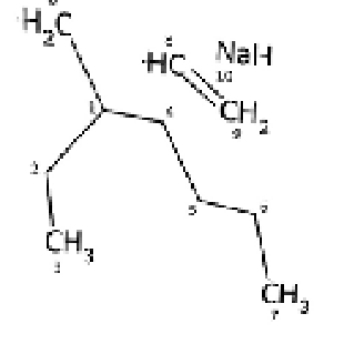 [CH2]C(CC)CCCC.[CH]=C.[NaH]